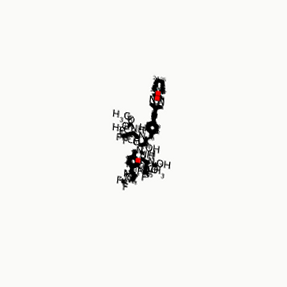 COC(=O)N[C@H](C(=O)N[C@@H](Cc1ccc(C#Cc2cnc(N3CC4CCC(C3)N4C3COC3)nc2)cc1)[C@@H](O)CN(Cc1ccc(-c2ccn(C(F)F)n2)cc1)NC(=O)[C@@H](NC(=O)O)C(C)(C)C(F)(F)F)C(C)(C)C(F)(F)F